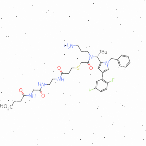 CC(C)(C)[C@H](c1cc(-c2cc(F)ccc2F)cn1Cc1ccccc1)N(CCCN)C(=O)CSCCC(=O)NCCNC(=O)CNC(=O)CCC(=O)O